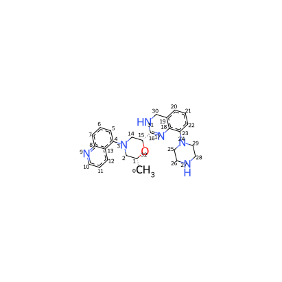 C[C@@H]1CN(c2cccc3ncccc23)C[C@H](C2=Nc3c(cccc3N3CCNCC3)CN2)O1